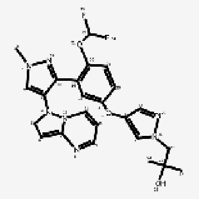 Cn1cc(N2CC=C3N=CC=CN32)c(-c2cc(Oc3cnn(CC(C)(C)O)c3)ccc2OC(F)F)n1